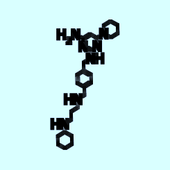 Nc1cc(N2CCCCC2)nc(NCc2ccc(CNCCCNC3CCCCC3)cc2)n1